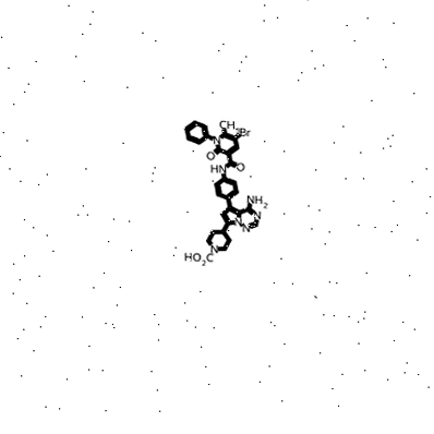 Cc1c(Br)cc(C(=O)Nc2ccc(-c3cc(C4CCN(C(=O)O)CC4)n4ncnc(N)c34)cc2)c(=O)n1-c1ccccc1